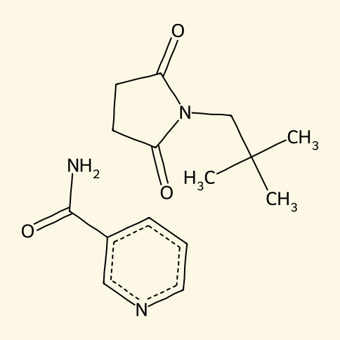 CC(C)(C)CN1C(=O)CCC1=O.NC(=O)c1cccnc1